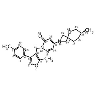 Cc1ccc(-c2noc(C)c2Cn2ncc(N3CC4(CC[C@H](C)CO4)C3)cc2=O)nn1